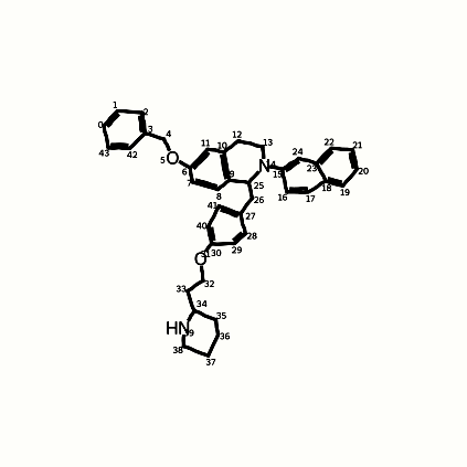 c1ccc(COc2ccc3c(c2)CCN(c2ccc4ccccc4c2)C3Cc2ccc(OCCC3CCCCN3)cc2)cc1